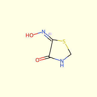 O=C1NCS/C1=N/O